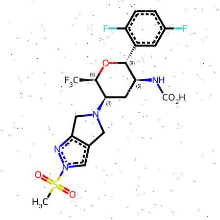 CS(=O)(=O)n1cc2c(n1)CN([C@@H]1C[C@H](NC(=O)O)[C@@H](c3cc(F)ccc3F)O[C@@H]1C(F)(F)F)C2